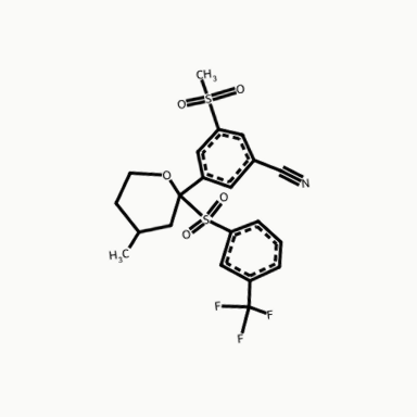 CC1CCOC(c2cc(C#N)cc(S(C)(=O)=O)c2)(S(=O)(=O)c2cccc(C(F)(F)F)c2)C1